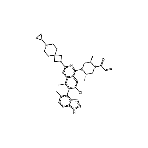 C=CC(=O)N1C[C@H](C)N(c2nc(N3CC4(CCN(C5CC5)CC4)C3)nc3c(F)c(-c4c(C)ccc5[nH]ncc45)c(Cl)cc23)C[C@H]1C